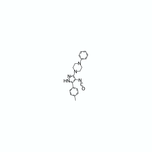 Cc1ccc(-c2[nH]nc(N3CCN(c4ccccc4)CC3)c2N=C=O)cc1